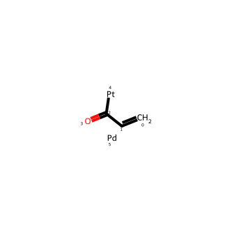 C=C[C](=O)[Pt].[Pd]